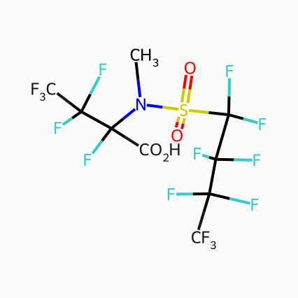 CN(C(F)(C(=O)O)C(F)(F)C(F)(F)F)S(=O)(=O)C(F)(F)C(F)(F)C(F)(F)C(F)(F)F